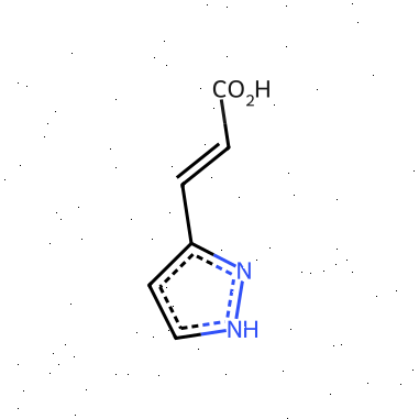 O=C(O)/C=C/c1cc[nH]n1